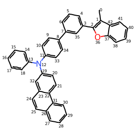 Cc1c(-c2cccc(-c3ccc(N(c4ccccc4)c4ccc5c(ccc6ccccc65)c4)cc3)c2)oc2ccccc12